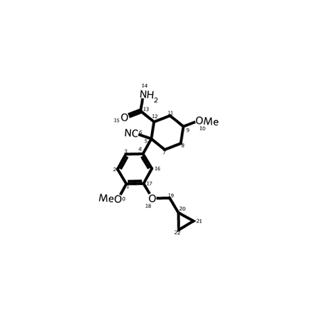 COc1ccc(C2(C#N)CCC(OC)CC2C(N)=O)cc1OCC1CC1